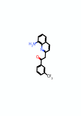 Nc1cccc2ccc(CC(=O)c3cccc(C(F)(F)F)c3)nc12